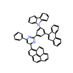 c1ccc(-c2cc(-c3ccc4ccc5cccc6ccc3c4c56)nc(-c3cc(-c4cc5ccccc5c5ccccc45)cc(-n4c5ccccc5c5ccccc54)c3)n2)cc1